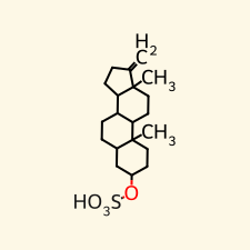 C=C1CCC2C3CCC4CC(OS(=O)(=O)O)CCC4(C)C3CCC12C